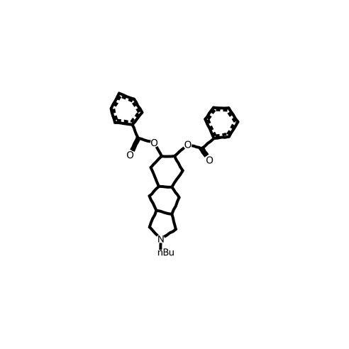 CCCCN1CC2CC3CC(OC(=O)c4ccccc4)C(OC(=O)c4ccccc4)CC3CC2C1